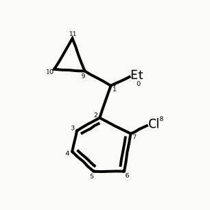 CC[C](c1ccccc1Cl)C1CC1